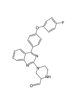 O=CC1CN(c2nc(-c3ccc(Oc4ccc(F)cc4)cc3)c3ccccc3n2)CCN1